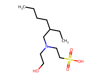 CCCCC(CC)CN(CCO)CCS(=O)(=O)O